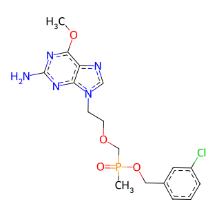 COc1nc(N)nc2c1ncn2CCOCP(C)(=O)OCc1cccc(Cl)c1